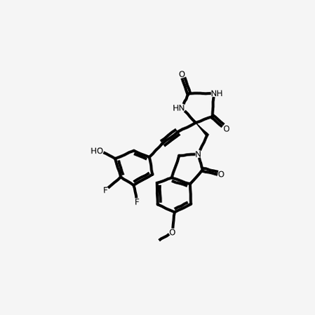 COc1ccc2c(c1)C(=O)N(C[C@@]1(C#Cc3cc(O)c(F)c(F)c3)NC(=O)NC1=O)C2